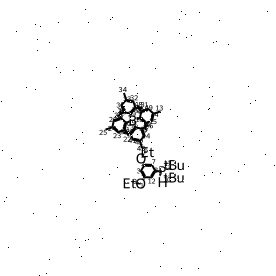 CCOc1cc(OCC)cc([PH+](C(C)(C)C)C(C)(C)C)c1.Cc1cc(C)c([B-](c2c(C)cc(C)cc2C)(c2c(C)cc(C)cc2C)c2c(C)cc(C)cc2C)c(C)c1